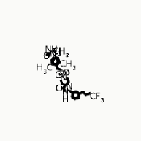 Cc1cc(N(C)C(N)=O)cc(C)c1CCS(=O)(=O)N1CCC2(CC1)N=C(c1cccc(CCCC(F)(F)F)c1)NC2=O